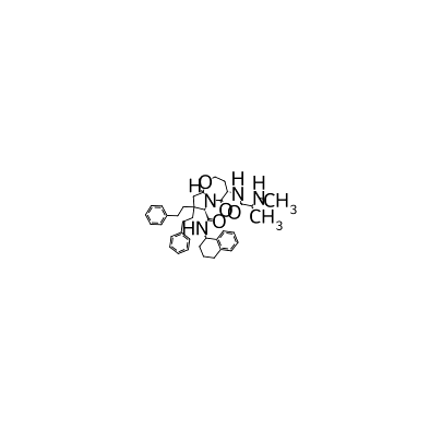 CN[C@@H](C)C(=O)N[C@H]1CCO[C@H]2CC(CCc3ccccc3)(CCc3ccccc3)[C@H](C(=O)N[C@@H]3CCCc4ccccc43)N2C1=O